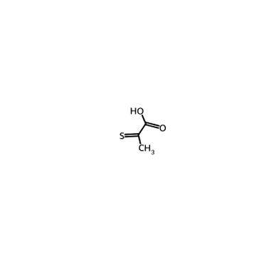 CC(=S)C(=O)O